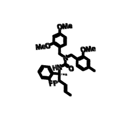 CC=C[C@H](F)[C@](C)(NC(=O)N(Cc1ccc(C)cc1OC)Cc1ccc(OC)cc1OC)c1ccccc1F